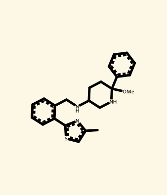 COC1(c2ccccc2)CCC(NCc2ccccc2-c2nc(C)cs2)CN1